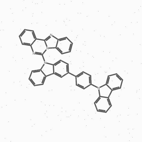 c1ccc2c(c1)nc(-n1c3ccccc3c3cc(-c4ccc(-n5c6ccccc6c6ccccc65)cc4)ccc31)n1c3ccccc3nc21